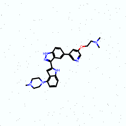 CN(C)CCOc1cncc(-c2ccc3[nH]nc(-c4cc5c(N6CCN(C)CC6)cccc5[nH]4)c3c2)c1